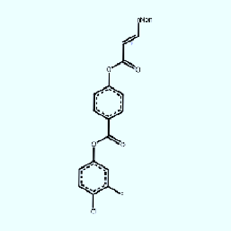 CCCCCCCCC/C=C/C(=O)Oc1ccc(C(=O)Oc2ccc(Cl)c(F)c2)cc1